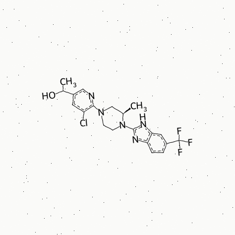 CC(O)c1cnc(N2CCN(c3nc4ccc(C(F)(F)F)cc4[nH]3)[C@H](C)C2)c(Cl)c1